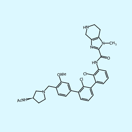 COc1cc(-c2cccc(-c3cccc(NC(=O)c4nc5c(n4C)CCNC5)c3Cl)c2Cl)ccc1CN1CC[C@@H](NC(C)=O)C1